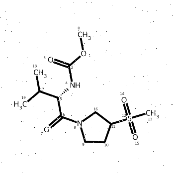 COC(=O)N[C@H](C(=O)N1CCC(S(C)(=O)=O)C1)C(C)C